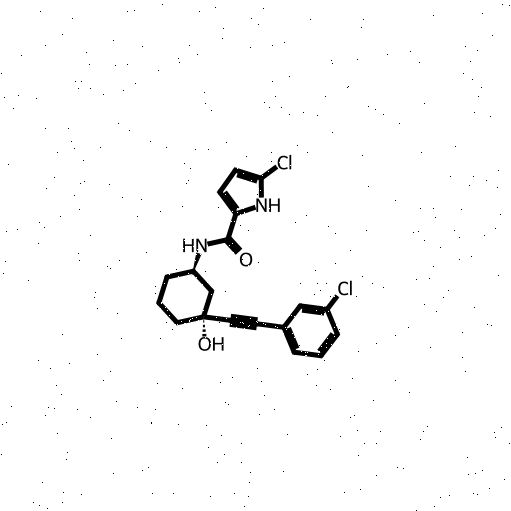 O=C(N[C@@H]1CCC[C@](O)(C#Cc2cccc(Cl)c2)C1)c1ccc(Cl)[nH]1